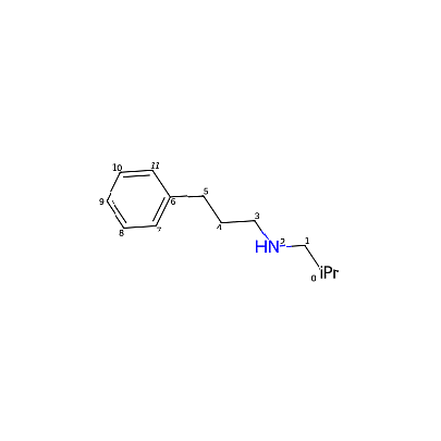 CC(C)CNCCCc1ccccc1